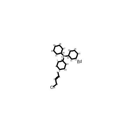 C/C=C/CCl.C1CCC(P(C2CCCCC2)C2CCCCC2)CC1.[Pd]